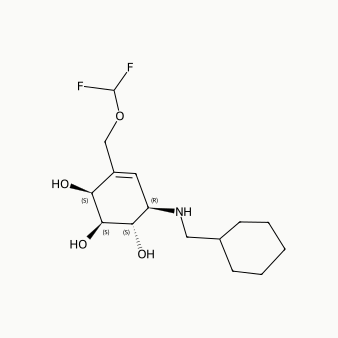 O[C@@H]1[C@@H](O)[C@@H](O)C(COC(F)F)=C[C@H]1NCC1CCCCC1